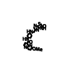 COc1ccc2nccc(C(=O)NC3CCC(NCc4cnc5c(n4)NC(=O)CS5)CC3)c2n1